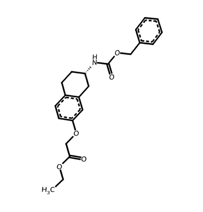 CCOC(=O)COc1ccc2c(c1)C[C@@H](NC(=O)OCc1ccccc1)CC2